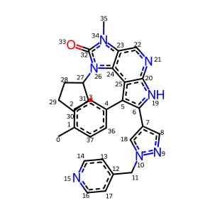 Cc1ccc(-c2c(-c3cnn(Cc4ccncc4)c3)[nH]c3ncc4c(c23)n(C2CCCC2)c(=O)n4C)cc1